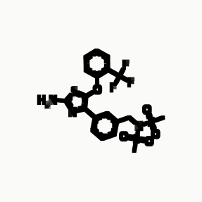 CS(=O)(=O)N(Cc1cccc(-c2nc(N)sc2Oc2ccccc2C(F)(F)F)c1)S(C)(=O)=O